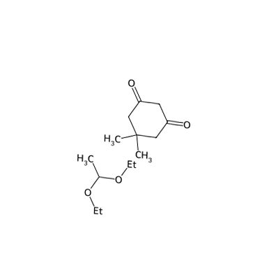 CC1(C)CC(=O)CC(=O)C1.CCOC(C)OCC